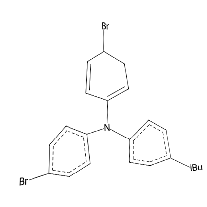 CCC(C)c1ccc(N(C2=CCC(Br)C=C2)c2ccc(Br)cc2)cc1